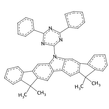 CC1(C)c2ccccc2-c2cc3c(cc21)c1cc2c(cc1n3-c1nc(-c3ccccc3)nc(-c3ccccc3)n1)-c1ccccc1C2(C)C